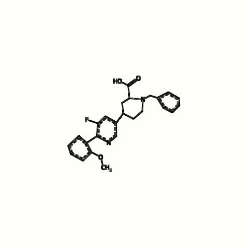 COc1ccccc1-c1ncc(C2CCN(Cc3ccccc3)C(C(=O)O)C2)cc1F